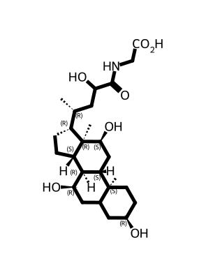 C[C@H](CC(O)C(=O)NCC(=O)O)[C@H]1CC[C@H]2[C@@H]3[C@H](O)CC4C[C@H](O)CC[C@]4(C)[C@H]3C[C@H](O)[C@]12C